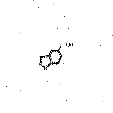 CCOC(=O)c1ccn2nncc2c1